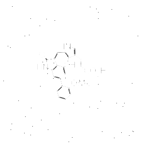 COc1ccccc1-c1ccc2c(c1)NC(=O)C2=Cc1[nH]cc(CCC(=O)O)c1C